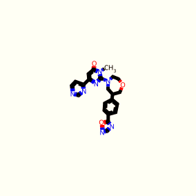 Cn1c(N2CCOCC(c3ccc(-c4ncno4)cc3)C2)nc(-c2ccncn2)cc1=O